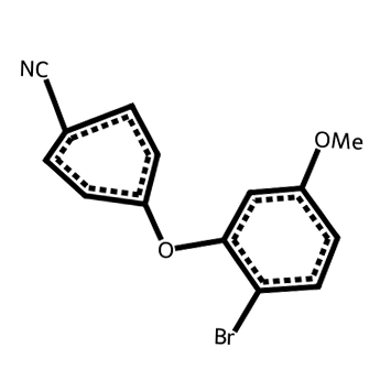 COc1ccc(Br)c(Oc2ccc(C#N)cc2)c1